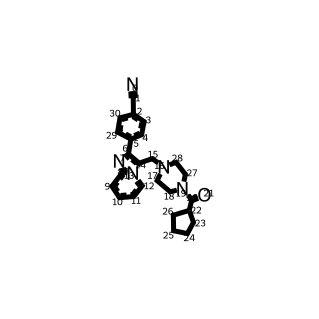 N#Cc1ccc(-c2nc3ccccn3c2CN2CCN(C(=O)C3CCCC3)CC2)cc1